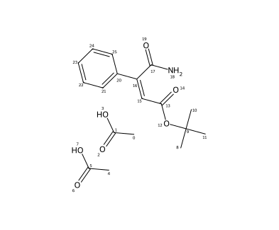 CC(=O)O.CC(=O)O.CC(C)(C)OC(=O)C=C(C(N)=O)c1ccccc1